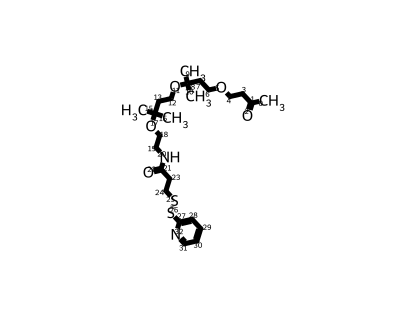 CC(=O)CCOCCC(C)(C)OCCC(C)(C)OCCNC(=O)CCSSc1ccccn1